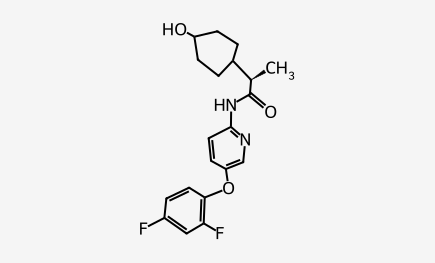 C[C@@H](C(=O)Nc1ccc(Oc2ccc(F)cc2F)cn1)C1CCC(O)CC1